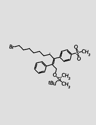 CC(C)(C)[Si](C)(C)OC/C(=C(/[CH]CCCCCCBr)c1ccc(S(C)(=O)=O)cc1)c1ccccc1